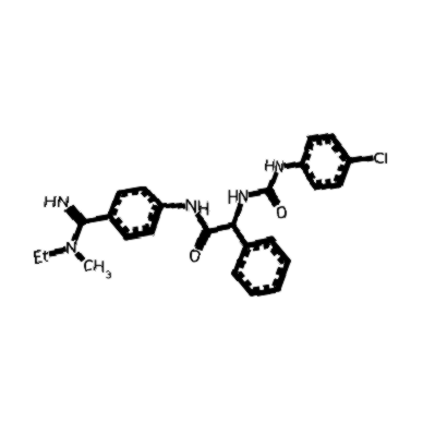 CCN(C)C(=N)c1ccc(NC(=O)C(NC(=O)Nc2ccc(Cl)cc2)c2ccccc2)cc1